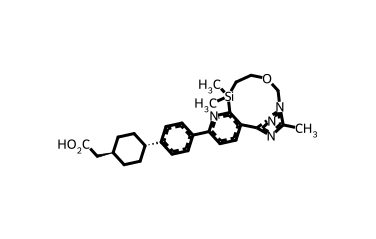 Cc1nc2nn1COCC[Si](C)(C)c1nc(-c3ccc([C@H]4CC[C@H](CC(=O)O)CC4)cc3)ccc1-2